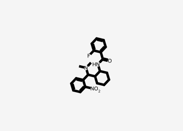 CN(C)C(c1ccccc1[N+](=O)[O-])C1CCCCC1NC(=O)c1ccccc1F